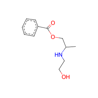 CC(COC(=O)c1ccccc1)NCCO